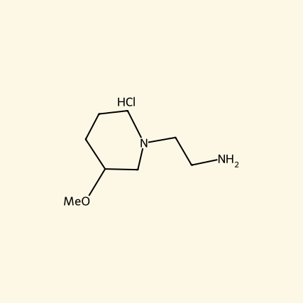 COC1CCCN(CCN)C1.Cl